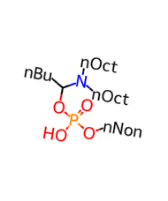 CCCCCCCCCOP(=O)(O)OC(CCCC)N(CCCCCCCC)CCCCCCCC